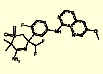 COc1cnc2c(Nc3ccc(F)c([C@@]4(C(F)F)CS(=O)(=O)C(C)(C)C(N)=N4)c3)nccc2c1